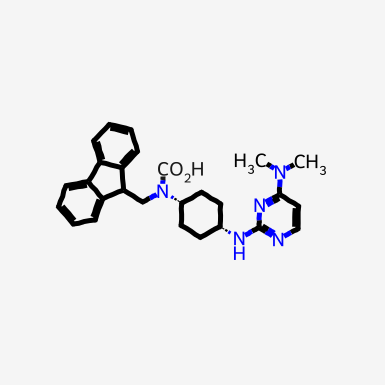 CN(C)c1ccnc(N[C@H]2CC[C@@H](N(CC3c4ccccc4-c4ccccc43)C(=O)O)CC2)n1